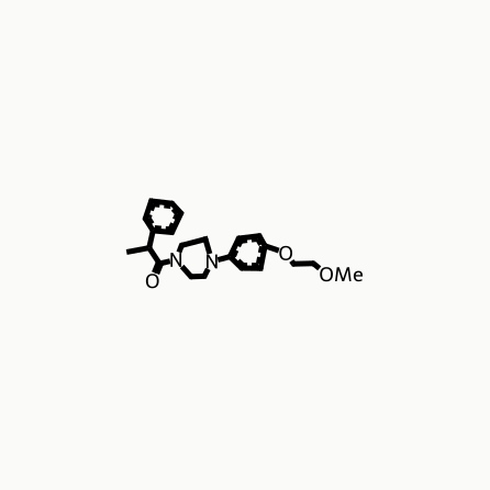 COCCOc1ccc(N2CCN(C(=O)C(C)c3ccccc3)CC2)cc1